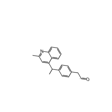 Cc1cc(C(C)c2ccc(C[C]=O)cc2)c2ccccc2n1